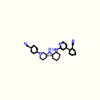 N#Cc1ccc(N2CCC[C@H](N[C@@H]3CCCC[C@H]3Nc3cc(-c4ccccc4C#N)ccn3)C2)cc1